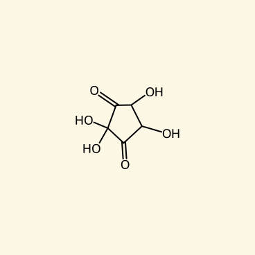 O=C1C(O)C(O)C(=O)C1(O)O